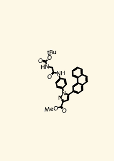 COC(=O)c1cc(-c2ccc3ccc4ccccc4c3c2)n(-c2ccc(NC(=O)CNC(=O)OC(C)(C)C)cc2)n1